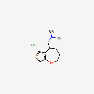 CN(C)CC1CCCOc2cscc21.Cl